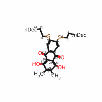 CCCCCCCCCCCCSc1cc2c(cc1SCCCCCCCCCCCC)C(=O)c1c(O)c(C)c(C)c(O)c1C2=O